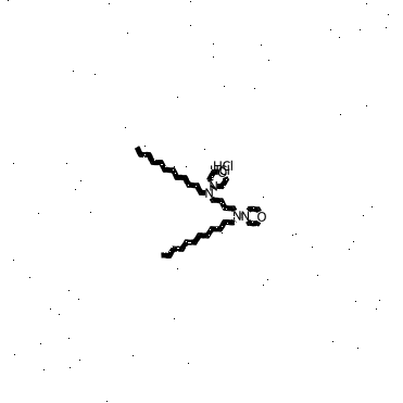 CCCCCCCCCCCCN(CCCCN(CCCCCCCCCCCC)N1CCOCC1)N1CCOCC1.Cl.Cl